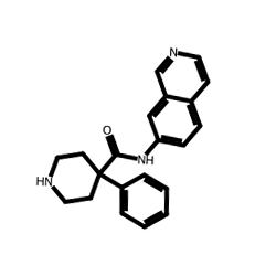 O=C(Nc1ccc2ccncc2c1)C1(c2ccccc2)CCNCC1